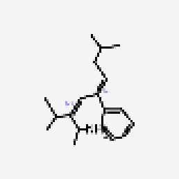 CC(C)C/C=C(\C=C(\C(C)C)C(C)N)c1ccccc1